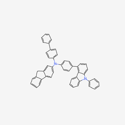 c1ccc(-c2ccc(N(c3ccc(-c4cccc5c4c4ccccc4n5-c4ccccc4)cc3)c3ccc4c(c3)Cc3ccccc3-4)cc2)cc1